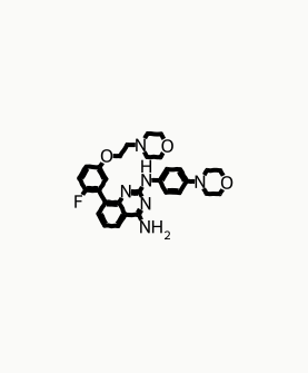 Nc1nc(Nc2ccc(N3CCOCC3)cc2)nc2c(-c3cc(OCCN4CCOCC4)ccc3F)cccc12